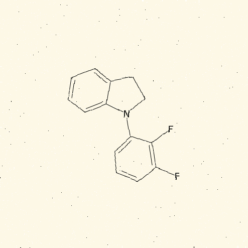 Fc1cccc(N2CCc3ccccc32)c1F